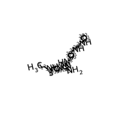 CCCCNC(=S)N1CCN(c2cc(N)nc(NCc3ccc(CNCCCNC4CCCCC4)cc3)n2)CC1